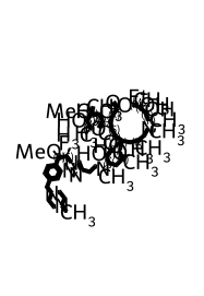 CC[C@H]1OC(=O)[C@H](C)C([C@H]2C[C@@](C)(OC)[C@@H](O)[C@H](C)O2)[C@H](C)[C@@H](O[C@@H]2O[C@H](C)C[C@H](N(C)CCc3cn([C@H](CF)[C@H](OC)c4ccc(CN5CCN(C)CC5)cc4)nn3)[C@H]2O)[C@](C)(O)C[C@@H](C)CN(C)[C@H](C)[C@@H](O)[C@]1(C)O